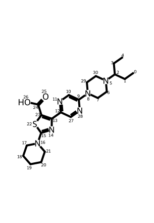 CCC(CC)N1CCN(c2cnc(-c3nc(N4CCCCC4)sc3C(=O)O)cn2)CC1